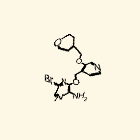 Nc1ncc(Br)nc1OCc1ccncc1OCC1CCOCC1